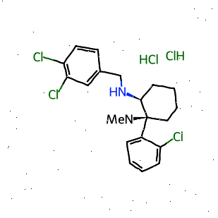 CN[C@]1(c2ccccc2Cl)CCCC[C@@H]1NCc1ccc(Cl)c(Cl)c1.Cl.Cl